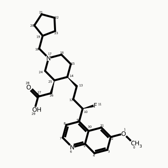 COc1ccc2nccc([C@H](F)CC[C@@H]3CCN(CC4CCCC4)C[C@@H]3CC(=O)O)c2c1